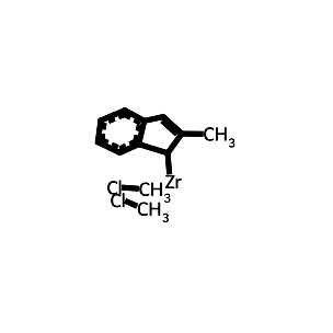 CC1=Cc2ccccc2[CH]1[Zr].CCl.CCl